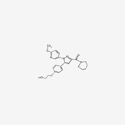 COc1ccc(-n2nc(C(=O)N3CCCCC3)cc2-c2ccc(OCCO)cc2)cn1